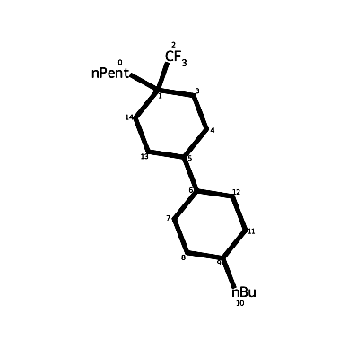 CCCCCC1(C(F)(F)F)CCC(C2CCC(CCCC)CC2)CC1